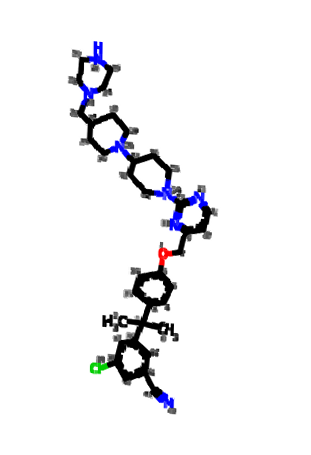 CC(C)(c1ccc(OCc2ccnc(N3CCC(N4CCC(CN5CCNCC5)CC4)CC3)n2)cc1)c1cc(Cl)cc(C#N)c1